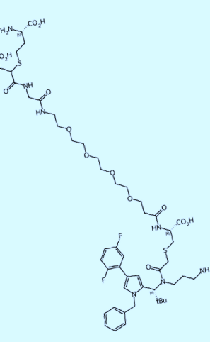 CC(C)(C)[C@H](c1cc(-c2cc(F)ccc2F)cn1Cc1ccccc1)N(CCCN)C(=O)CSC[C@H](NC(=O)CCOCCOCCOCCOCCNC(=O)CNC(=O)C(CC(=O)O)SCC[C@H](N)C(=O)O)C(=O)O